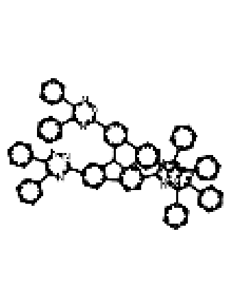 Cc1cc(-c2nnc(-c3ccccc3)c(-c3ccccc3)n2)ccc1-c1ccc(-c2nnc(-c3ccccc3)c(-c3ccccc3)n2)cc1C1c2cc(-c3nnc(-c4ccccc4)c(-c4ccccc4)n3)ccc2-c2ccc(-c3nnc(-c4ccccc4)c(-c4ccccc4)n3)cc21